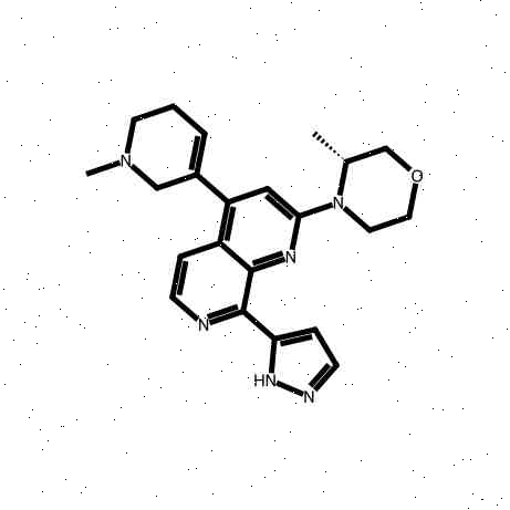 C[C@@H]1COCCN1c1cc(C2=CCCN(C)C2)c2ccnc(-c3ccn[nH]3)c2n1